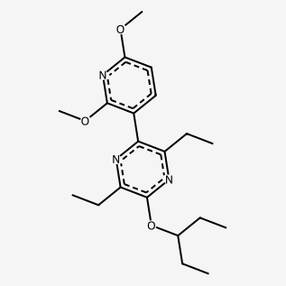 CCc1nc(-c2ccc(OC)nc2OC)c(CC)nc1OC(CC)CC